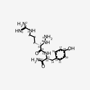 N=C(N)NCCC[C@H](NN)C(=O)N[C@@H](Cc1ccc(O)cc1)C(N)=O